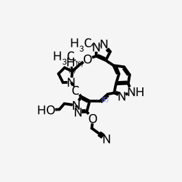 C[C@@H]1Oc2c(cnn2C)-c2ccc3[nH]nc(c3c2)/C=C/c2c(OCC#N)nn(CCO)c2CN2CCC[C@H]12